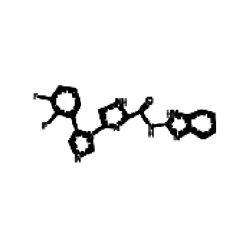 O=C(Nc1nc2ccccc2[nH]1)c1nc(-n2cncc2-c2cccc(F)c2F)c[nH]1